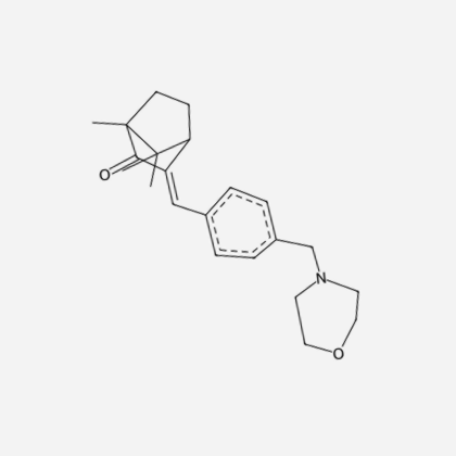 CC12CCC(C(=Cc3ccc(CN4CCOCC4)cc3)C1=O)C2(C)C